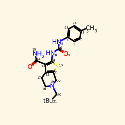 Cc1ccc(NC(=O)Nc2sc3c(c2C(N)=O)CCN(CC(C)(C)C)C3)cc1